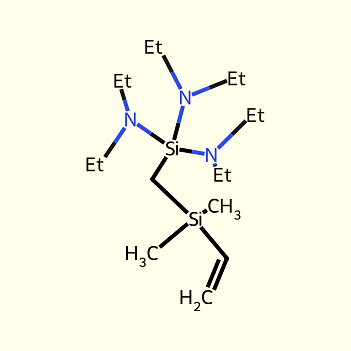 C=C[Si](C)(C)C[Si](N(CC)CC)(N(CC)CC)N(CC)CC